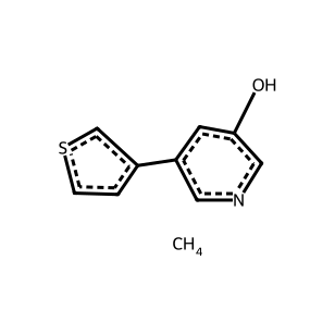 C.Oc1cncc(-c2ccsc2)c1